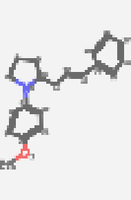 CCOc1ccc(N2CCCC2CC=Cc2ccccc2)cc1